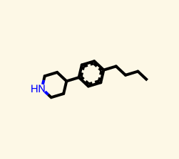 CCCCc1ccc(C2CCNCC2)cc1